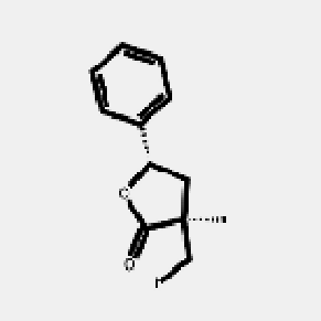 C[C@@]1(CI)C[C@@H](c2ccccc2)OC1=O